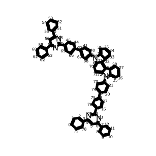 c1ccc(-c2cc(-c3ccccc3)nc(-c3ccc(-c4ccc(-n5c6ccccc6c6c7c8ccccc8n(-c8ccc(-c9ccc(-c%10nc(-c%11ccccc%11)cc(-c%11ccccc%11)n%10)cc9)cc8)c7ccc65)cc4)cc3)n2)cc1